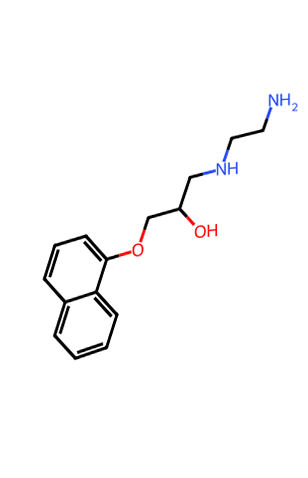 NCCNCC(O)COc1cccc2ccccc12